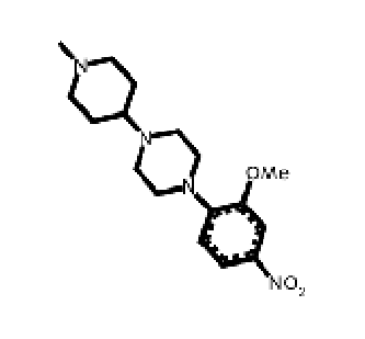 COc1cc([N+](=O)[O-])ccc1N1CCN(C2CCN(C)CC2)CC1